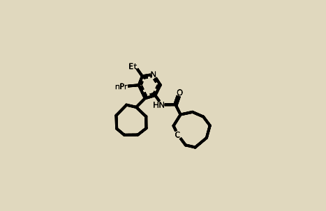 CCCc1c(CC)ncc(NC(=O)C2CCCCCCCC2)c1C1CCCCCCC1